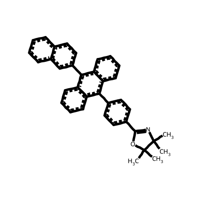 CC1(C)N=C(c2ccc(-c3c4ccccc4c(-c4ccc5ccccc5c4)c4ccccc34)cc2)OC1(C)C